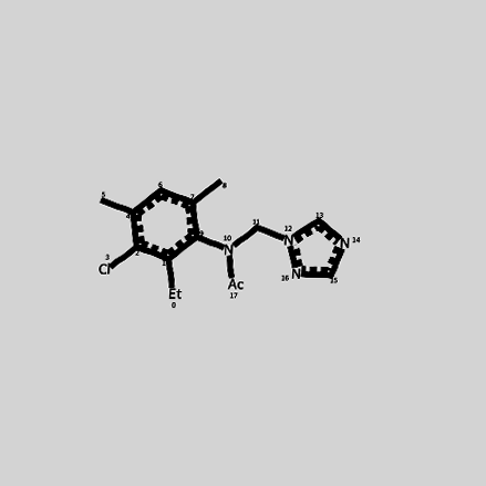 CCc1c(Cl)c(C)cc(C)c1N(Cn1cncn1)C(C)=O